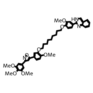 COc1cc(C2N=c3ccccc3=CN2)ccc1OCCCCCCCCCOc1cc(-c2cc(-c3cc(OC)c(OC)c(OC)c3)no2)ccc1OC